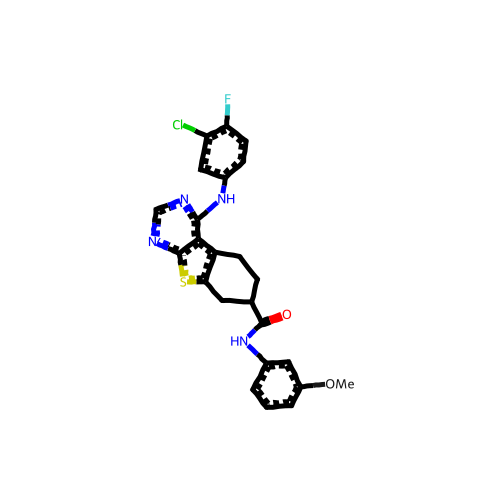 COc1cccc(NC(=O)C2CCc3c(sc4ncnc(Nc5ccc(F)c(Cl)c5)c34)C2)c1